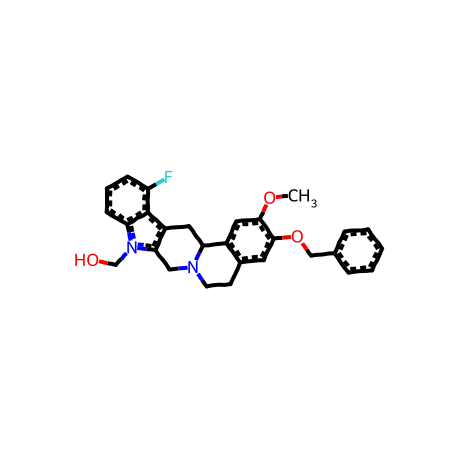 COc1cc2c(cc1OCc1ccccc1)CCN1Cc3c(c4c(F)cccc4n3CO)CC21